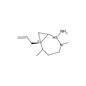 C=CC[C@@]12CC1[SH](N)N(C)CCC2C